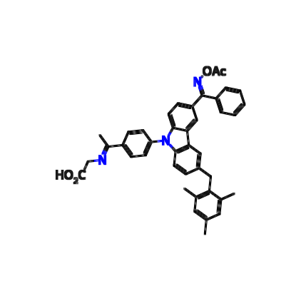 CC(=O)ON=C(c1ccccc1)c1ccc2c(c1)c1cc(Cc3c(C)cc(C)cc3C)ccc1n2-c1ccc(C(C)=NCC(=O)O)cc1